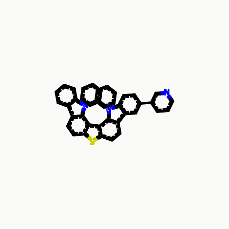 c1ccc(-n2c3ccccc3c3ccc4sc5ccc6c7cc(-c8cccnc8)ccc7n(-c7ccccc7)c6c5c4c32)cc1